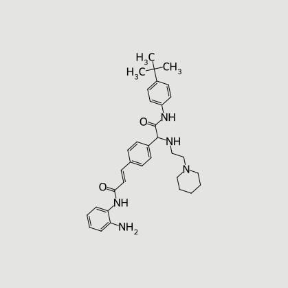 CC(C)(C)c1ccc(NC(=O)C(NCCN2CCCCC2)c2ccc(/C=C/C(=O)Nc3ccccc3N)cc2)cc1